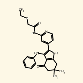 CC1(C)CC(=O)c2c([nH]c(-c3ccnc(NC(=O)COCC(F)(F)F)c3)c2Nc2ccccc2)C1